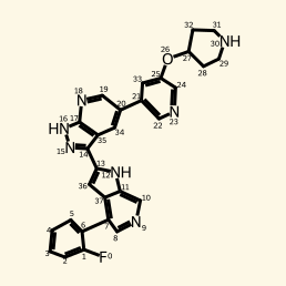 Fc1ccccc1-c1cncc2[nH]c(-c3n[nH]c4ncc(-c5cncc(OC6CCNCC6)c5)cc34)cc12